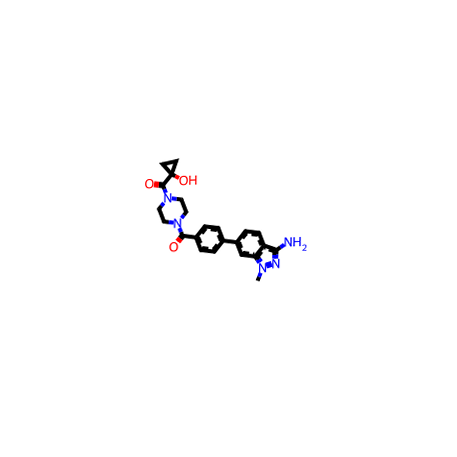 Cn1nc(N)c2ccc(-c3ccc(C(=O)N4CCN(C(=O)C5(O)CC5)CC4)cc3)cc21